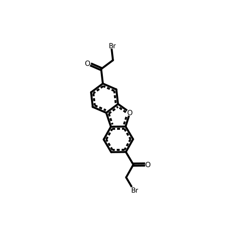 O=C(CBr)c1ccc2c(c1)oc1cc(C(=O)CBr)ccc12